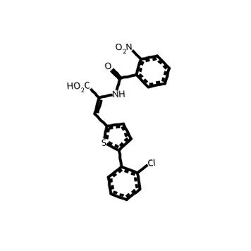 O=C(O)C(=Cc1ccc(-c2ccccc2Cl)s1)NC(=O)c1ccccc1[N+](=O)[O-]